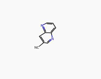 N#Cc1cnc2cccnc2c1